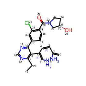 C=C(N)/C=C\C(=C/N)c1c(CC)ncnc1-c1ccc(C(=O)N2CC[C@H](O)C2)c(Cl)c1